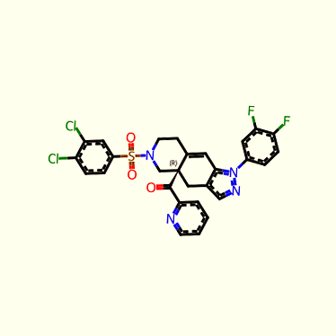 O=C(c1ccccn1)[C@]12Cc3cnn(-c4ccc(F)c(F)c4)c3C=C1CCN(S(=O)(=O)c1ccc(Cl)c(Cl)c1)C2